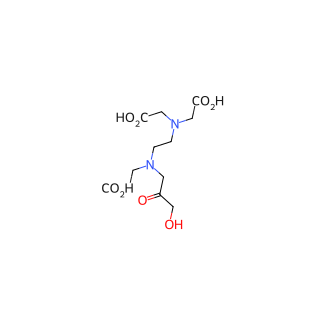 O=C(O)CN(CCN(CC(=O)O)CC(=O)CO)CC(=O)O